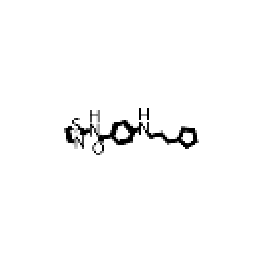 O=C(Nc1nccs1)c1ccc(NCCCC2CCCC2)cc1